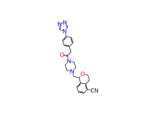 N#Cc1cccc2c1CCOC2CN1CCN(C(=O)Cc2ccc(-n3cnnc3)cc2)CC1